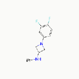 CC(C)NC1CN(c2ccc(F)c(F)c2)C1